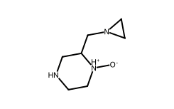 [O-][NH+]1CCNCC1CN1CC1